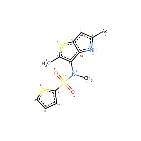 CC(=O)c1cc2sc(C)c(N(C)S(=O)(=O)c3cccs3)c2[nH]1